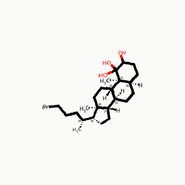 CC(C)CCC[C@@H](C)[C@H]1CC[C@H]2[C@@H]3CC[C@@H]4CCC(O)C(O)(O)[C@]4(C)[C@H]3CC[C@]12C